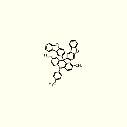 Cc1ccc(N2c3ccc(C)cc3C(c3ccc4oc5ccccc5c4c3)(c3ccc4oc5ccccc5c4c3)c3cc(C)ccc32)cc1